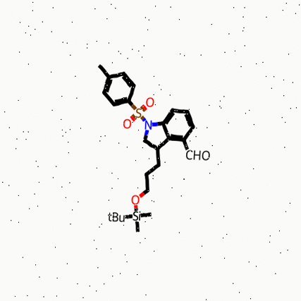 Cc1ccc(S(=O)(=O)N2CC(CCCO[Si](C)(C)C(C)(C)C)c3c(C=O)cccc32)cc1